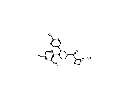 Nc1cc(Cl)cnc1N1CCN(C(=O)C2CC[C@@H]2C(=O)O)CC1c1ccc(Cl)cc1